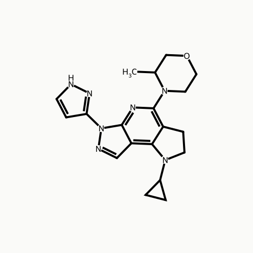 CC1COCCN1c1nc2c(cnn2-c2cc[nH]n2)c2c1CCN2C1CC1